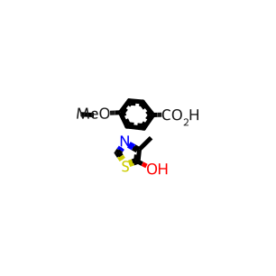 CC.COc1ccc(C(=O)O)cc1.Cc1ncsc1O